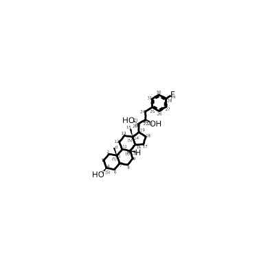 C[C@]12CC[C@H](O)CC1CC[C@@H]1C2CC[C@@]2(C)C1CCC2[C@H](O)[C@H](O)Cc1ccc(F)cc1